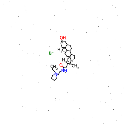 C=CC[N+]1(CCNC(=O)CC[C@@H](C)[C@H]2CCC3C4CCC5C[C@H](O)CC[C@]5(C)C4CC[C@@]32C)CCCC1.[Br-]